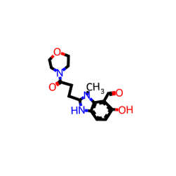 CN1c2c(ccc(O)c2C=O)NC1CCC(=O)N1CCOCC1